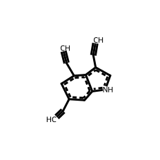 C#Cc1cc(C#C)c2c(C#C)c[nH]c2c1